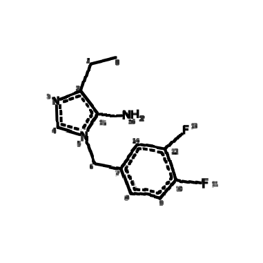 CCc1ncn(Cc2ccc(F)c(F)c2)c1N